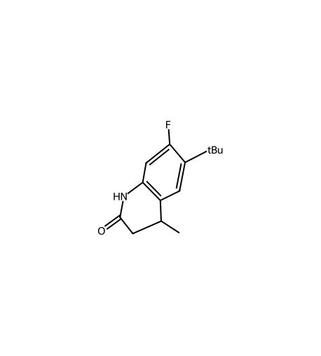 CC1CC(=O)Nc2cc(F)c(C(C)(C)C)cc21